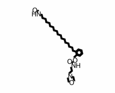 O=CNCCCCCCCCCCCCCCCCCCc1ccccc1COC(=O)NCCCN1CCOCC1